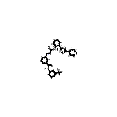 O=C(/C=C/c1cccc(C(=O)Nc2cccc(C(F)(F)F)c2)c1)Nc1ccccc1-c1nnc(-c2ccncc2)o1